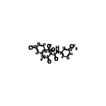 CN1C(=O)C(C(=O)Nc2cccc(C(F)(F)F)c2)S(=O)(=O)c2ccc(Cl)cc21